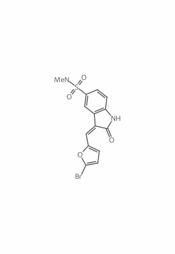 CNS(=O)(=O)c1ccc2c(c1)C(=Cc1ccc(Br)o1)C(=O)N2